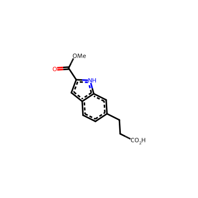 COC(=O)c1cc2ccc(CCC(=O)O)cc2[nH]1